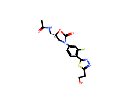 CC(=O)NC[C@H]1CN(c2ccc(-c3nnc(CCO)s3)c(F)c2)C(=O)O1